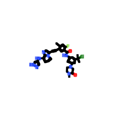 Cc1cc(F)c(C(=O)Nc2cc(N3CCN(C)C(=O)C3)cc(C(C)(C)Cl)c2)cc1C#Cc1cnc2c(Nc3cn[nH]c3)cccn12